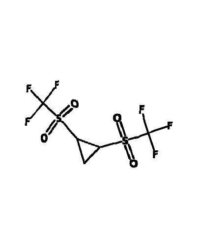 O=S(=O)(C1CC1S(=O)(=O)C(F)(F)F)C(F)(F)F